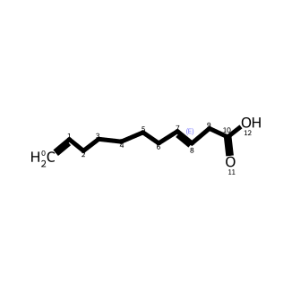 C=CCCCCC/C=C/CC(=O)O